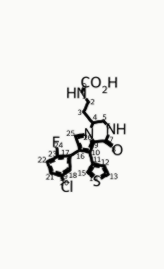 O=C(O)NCCC1CNC(=O)c2c(-c3ccsc3)c(-c3cc(Cl)ccc3F)cn21